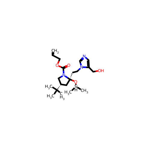 C=CCOC(=O)N1C[C@@H](C(C)(C)C)C[C@]1(CCn1cncc1CO)O[SiH](C)C